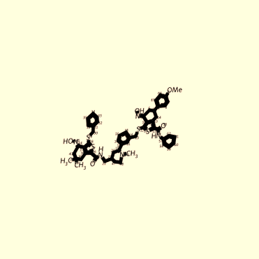 COc1ccc(C2C/C(=N\O)c3c(SCc4cccc(C5CC(CNC(=O)c6sc(SCc7ccccc7)c7c6CC(C)(C)C/C7=N\O)CCN5C)c4)sc(C(=O)Nc4ccccc4)c3C2)cc1